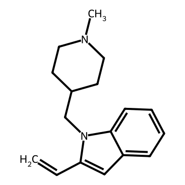 C=Cc1cc2ccccc2n1CC1CCN(C)CC1